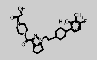 Cc1c(F)ccc(C2CCC(CCn3nc(C(=O)N4CCN(C(=O)CO)CC4)c4c3CCC4)CC2)c1C